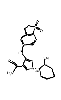 N#C[C@H]1CCCC[C@@H]1n1cc(C(N)=O)c(Nc2ccc3c(c2)CCS3(=O)=O)n1